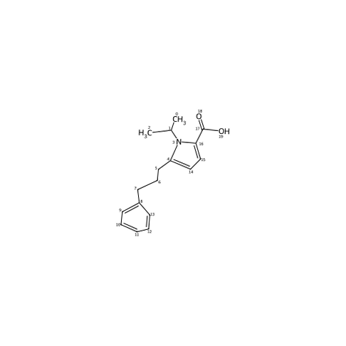 CC(C)n1c(CCCc2ccccc2)ccc1C(=O)O